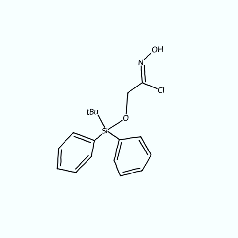 CC(C)(C)[Si](OC/C(Cl)=N/O)(c1ccccc1)c1ccccc1